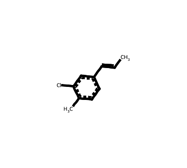 C/C=C/c1ccc(C)c(Cl)c1